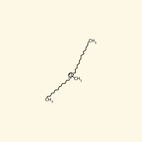 CCCCCCCCCCCCCCC[n+]1ccn(CCCCCCCCCCCCC)c1C